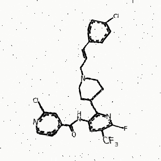 O=C(Nc1cc(C(F)(F)F)c(F)nc1C1CCN(C/C=C/c2ccc(Cl)cc2)CC1)c1ccnc(Cl)c1